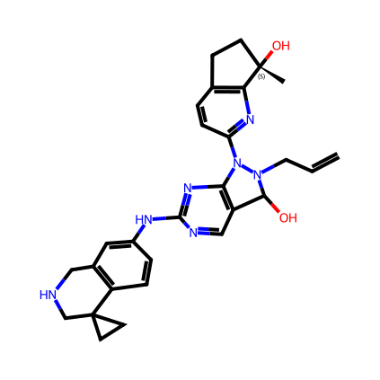 C=CCN1C(O)c2cnc(Nc3ccc4c(c3)CNCC43CC3)nc2N1c1ccc2c(n1)[C@@](C)(O)CC2